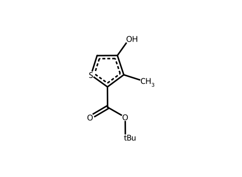 Cc1c(O)csc1C(=O)OC(C)(C)C